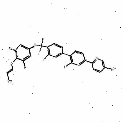 CCCc1ccc(-c2ccc(-c3ccc(C(F)(F)Oc4cc(F)c(O/C=C/C(F)(F)F)c(F)c4)c(F)c3)c(F)c2)nc1